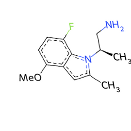 COc1ccc(F)c2c1cc(C)n2[C@H](C)CN